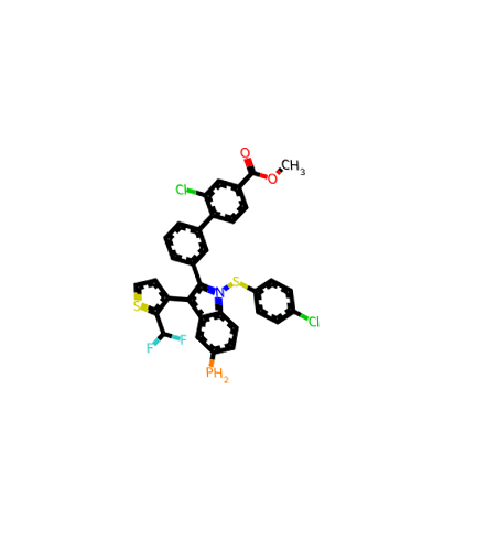 COC(=O)c1ccc(-c2cccc(-c3c(-c4ccsc4C(F)F)c4cc(P)ccc4n3Sc3ccc(Cl)cc3)c2)c(Cl)c1